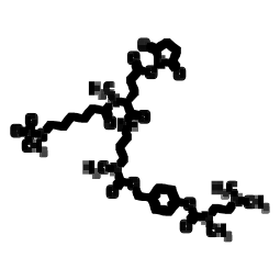 CN(C)CCN(C)C(=O)Oc1ccc(COC(=O)N(C)CCCNC(=O)[C@H](CCC(=O)ON2C(=O)CCC2=O)N(C)C(=O)CCCCCSS(C)(=O)=O)cc1